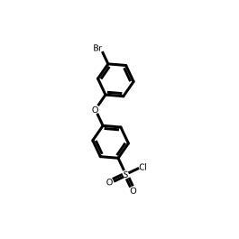 O=S(=O)(Cl)c1ccc(Oc2cccc(Br)c2)cc1